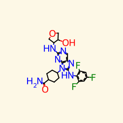 NC(=O)C1CCC(n2c(Nc3c(F)cc(F)cc3F)nc3cnc(NC4COCC4O)nc32)CC1